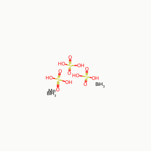 O=S(=O)(O)O.O=S(=O)(O)O.O=S(=O)(O)O.[BiH3].[BiH3].[Mn]